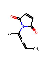 CC=C=C(CC)N1C(=O)C=CC1=O